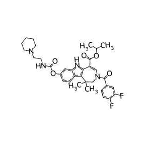 CC(C)OC(=O)C1=CN(C(=O)c2ccc(F)c(F)c2)CC(C)(C)c2c1[nH]c1cc(OC(=O)NCCN3CCCCC3)ccc21